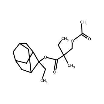 CCC(C)(COC(C)=O)C(=O)OC1(CC)C2CC3CC(C2)CC1C3